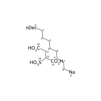 CCCCCCCCCCCCCCCCC[CH2][Na].O=C(O)CC(C(=O)O)S(=O)(=O)O